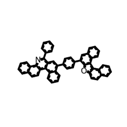 c1ccc(-c2nc3c4ccccc4ccc3c3c2cc(-c2ccc(-c4cc5ccccc5c5c4oc4ccc6ccccc6c45)cc2)c2ccccc23)cc1